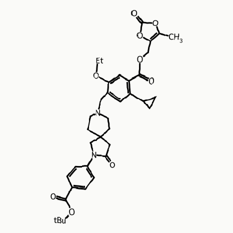 CCOc1cc(C(=O)OCc2oc(=O)oc2C)c(C2CC2)cc1CN1CCC2(CC1)CC(=O)N(c1ccc(C(=O)OC(C)(C)C)cc1)C2